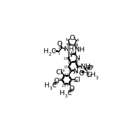 C=CC(=O)N[C@H]1COC[C@H]1Nc1ncc2cc(-c3c(Cl)c(OC)cc(OC)c3Cl)nc(NS(C)(=O)=O)c2n1